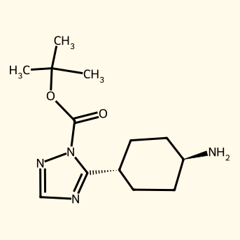 CC(C)(C)OC(=O)n1ncnc1[C@H]1CC[C@H](N)CC1